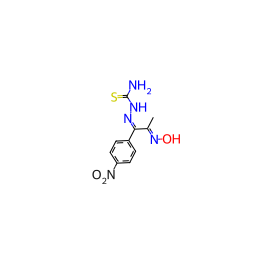 CC(=NO)C(=NNC(N)=S)c1ccc([N+](=O)[O-])cc1